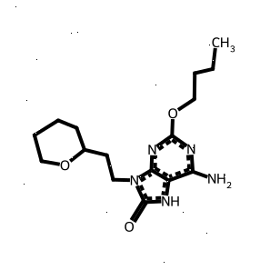 CCCCOc1nc(N)c2[nH]c(=O)n(CCC3CCCCO3)c2n1